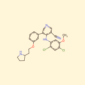 COc1cc(Nc2c(C#N)cncc2-c2cccc(OCCC3CCCN3)c2)c(Cl)cc1Cl